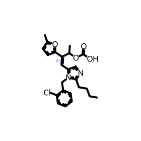 CCCCc1ncc(/C=C(/c2ccc(C)o2)C(C)OC(=O)O)n1Cc1ccccc1Cl